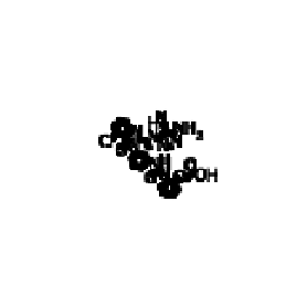 CC(Nc1ncnc(N)c1C#N)c1nc2cccc(Cl)c2c(=O)n1-c1cccc(NC(=O)Nc2ccccc2OCC(=O)O)c1